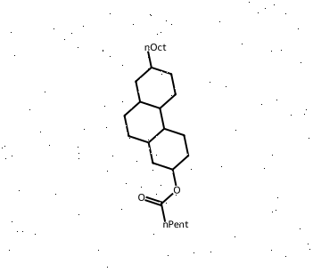 CCCCCCCCC1CCC2C(CCC3CC(OC(=O)CCCCC)CCC32)C1